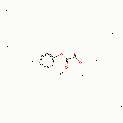 O=C([O-])C(=O)Oc1ccccc1.[K+]